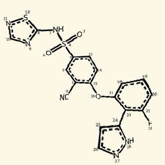 N#Cc1cc(S(=O)(=O)Nc2ncns2)ccc1Oc1cccc(F)c1-c1ccn[nH]1